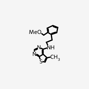 COCc1ccccc1CCNc1ncnc2scc(C)c12